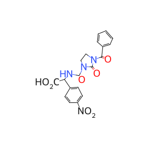 O=C(O)C(NC(=O)N1CCN(C(=O)c2ccccc2)C1=O)c1ccc([N+](=O)[O-])cc1